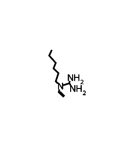 C=CN(CCCCCC)C(N)N